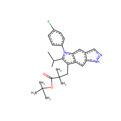 BC(B)(B)OC(=O)C(B)(B)Cc1c(C(C)C)n(-c2ccc(F)cc2)c2cc3cn[nH]c3cc12